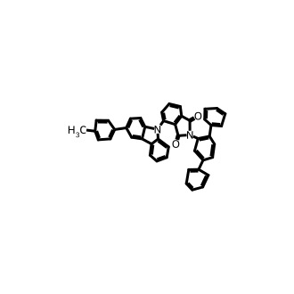 Cc1ccc(-c2ccc3c(c2)c2ccccc2n3-c2cccc3c2C(=O)N(c2cc(-c4ccccc4)ccc2-c2ccccc2)C3=O)cc1